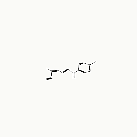 C=C/C(C)=C\C=C\Nc1ccc(C)cc1